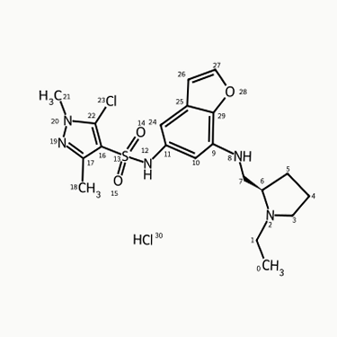 CCN1CCC[C@@H]1CNc1cc(NS(=O)(=O)c2c(C)nn(C)c2Cl)cc2ccoc12.Cl